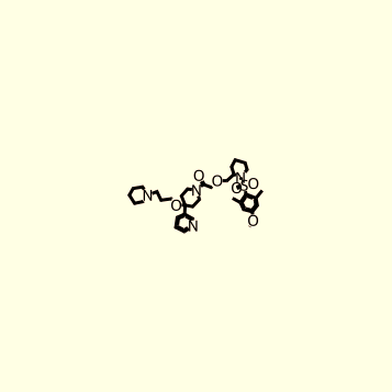 COc1cc(C)c(S(=O)(=O)N2CCCCC2COCC(=O)N2CCC(OCCCN3CCCCC3)(c3cccnc3)CC2)c(C)c1